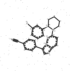 N#Cc1ccc(-c2cnc3ccc(N4CCCC[C@@H]4c4cccc(F)c4)nn23)cc1